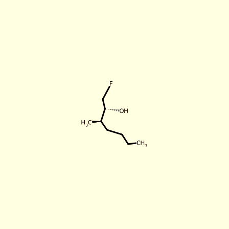 CCCC[C@@H](C)[C@@H](O)CF